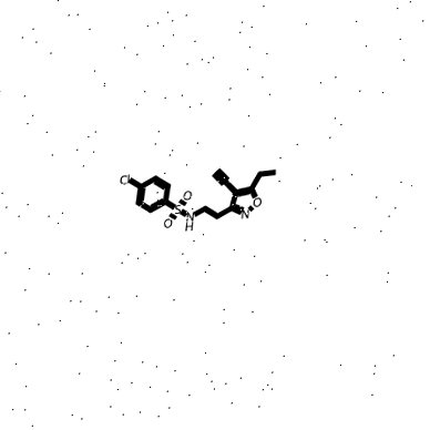 C#Cc1c(CCNS(=O)(=O)c2ccc(Cl)cc2)noc1CC